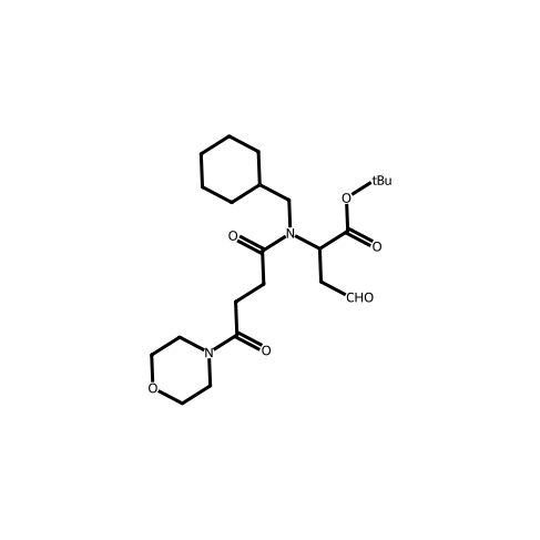 CC(C)(C)OC(=O)C(CC=O)N(CC1CCCCC1)C(=O)CCC(=O)N1CCOCC1